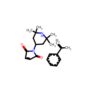 C=C(C)c1ccccc1.CC1(C)CC(N2C(=O)C=CC2=O)CC(C)(C)N1